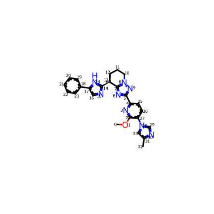 COc1nc(-c2nc3n(n2)CCC[C@@H]3c2ncc(-c3ccccc3)[nH]2)ccc1-n1cnc(C)c1